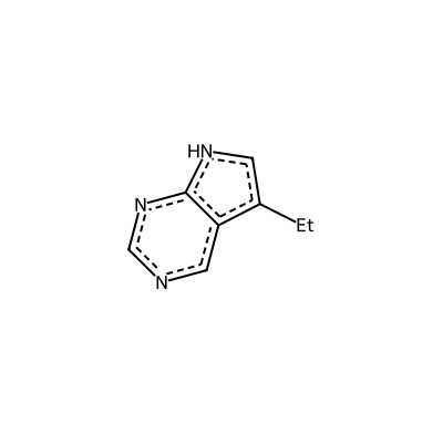 CCc1c[nH]c2ncncc12